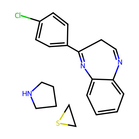 C1CCNC1.C1CS1.Clc1ccc(C2=Nc3ccccc3N=CC2)cc1